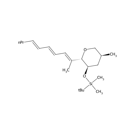 CCC/C=C/C=C/C=C(\C)[C@@H]1OC[C@@H](C)C[C@H]1O[Si](C)(C)C(C)(C)C